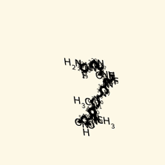 C[C@@H]1CN(CCN2CCC(n3cc(NC(=O)c4cnn5ccc(N6C[C@H](N)C[C@@H](F)C6)nc45)c(C(F)F)n3)CC2)CCN1c1ccc2c(C3CCC(=O)NC3=O)nn(C)c2c1